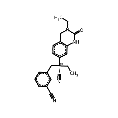 CCN1Cc2ccc([C@@](C#N)(CC)Cc3cccc(C#N)c3)cc2NC1=O